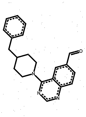 O=Cc1ccc2ncnc(N3CCC(Cc4ccccc4)CC3)c2c1